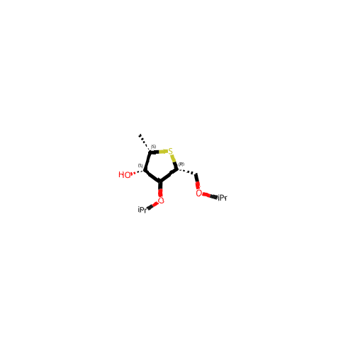 CC(C)OC[C@H]1S[C@@H](C)[C@@H](O)C1OC(C)C